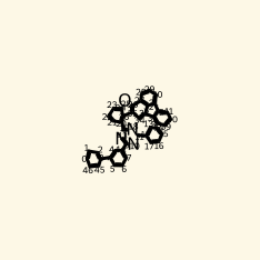 c1ccc(-c2cccc(-c3nc(-c4ccccc4)nc(-c4cccc5oc6c7cccc8c7c(cc6c45)-c4ccccc4-8)n3)c2)cc1